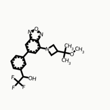 COC(C)(C)C1CN(c2cc(-c3cccc(C(O)C(F)(F)F)c3)cc3nonc23)C1